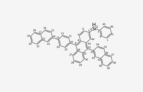 c1ccc([SiH2]c2ccc3c(-c4ccc(-c5ccc6ccccc6c5)cc4)c4ccccc4c(-c4ccc5ccccc5c4)c3c2)cc1